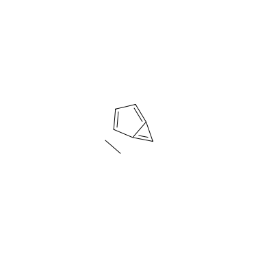 CC.c1cc2cc-2c1